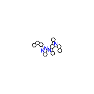 c1ccc2c(c1)ccc1ccc(-c3nc(-n4c5ccccc5c5c6c7c8ccccc8ccc7n7c8ccccc8c(cc54)c67)c4ccccc4n3)cc12